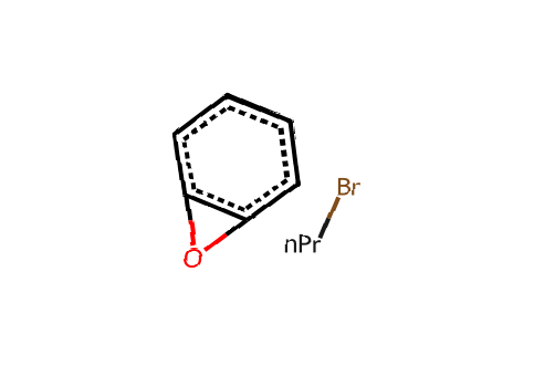 CCCBr.c1ccc2c(c1)O2